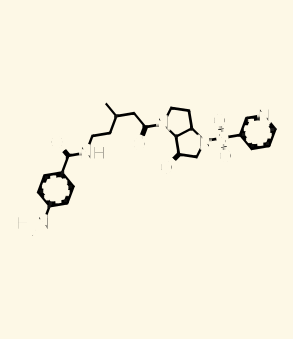 CC(CCNC(=O)c1ccc(N)cc1)CC(=O)N1CCC2C1C(=O)CN2S(=O)(=O)c1cccnc1